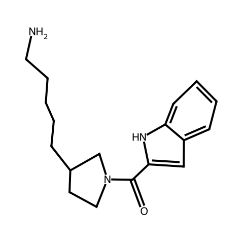 NCCCCCC1CCN(C(=O)c2cc3ccccc3[nH]2)C1